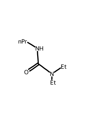 [CH2]CCNC(=O)N(CC)CC